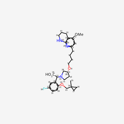 COc1cc(CCCCO[C@@H]2CCN(C(C(=O)O)c3cc(F)ccc3OCC3(C)CC3)C2)nc2c1CCCN2